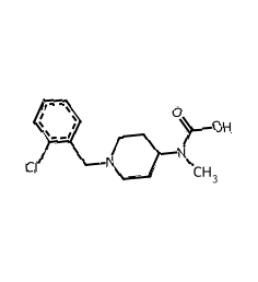 CN(C(=O)O)C1CCN(Cc2ccccc2Cl)CC1